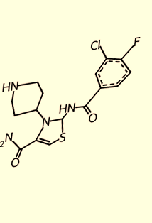 NC(=O)C1=CSC(NC(=O)c2ccc(F)c(Cl)c2)N1C1CCNCC1